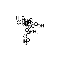 C=CCN1CC(=O)N2[C@@H](Cc3ccc(O)cc3)C(=O)N(Cc3cccc4c(-c5cccc(C(=O)NC6CC6)c5)cn(C)c34)C[C@@H]2N1C(=O)NCc1ccccc1